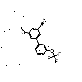 COc1cc(C#N)cc(-c2cccc(OC(F)(F)F)c2)c1